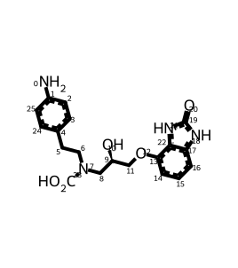 Nc1ccc(CCN(C[C@@H](O)COc2cccc3[nH]c(=O)[nH]c23)C(=O)O)cc1